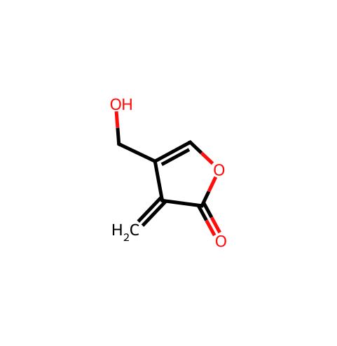 C=C1C(=O)OC=C1CO